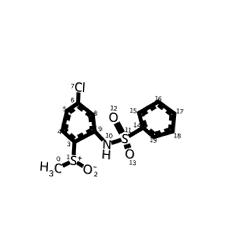 C[S+]([O-])c1ccc(Cl)cc1NS(=O)(=O)c1ccccc1